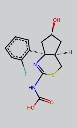 O=C(O)NC1=N[C@@]2(c3ccccc3F)C[C@@H](O)C[C@H]2CS1